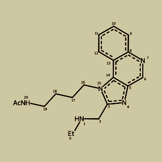 CCNCc1nc2cnc3ccccc3c2n1CCCCNC(C)=O